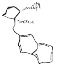 O=C(O)[C@H]1CC[C@@]1(Cc1ccc2ccccc2c1)C(=O)O